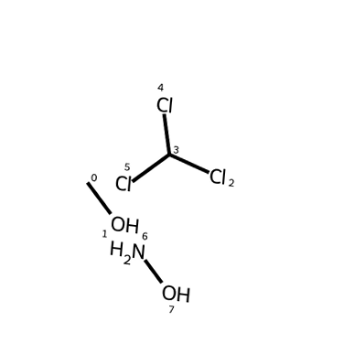 CO.ClC(Cl)Cl.NO